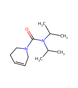 CC(C)N(C(=O)N1CC=CCC1)C(C)C